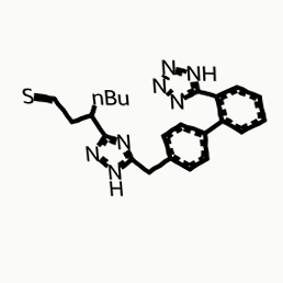 CCCCC(CC=S)c1n[nH]c(Cc2ccc(-c3ccccc3-c3nnn[nH]3)cc2)n1